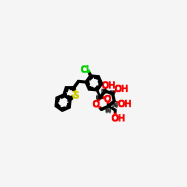 OC[C@@]12CO[C@@](c3ccc(Cl)c(Cc4cc5ccccc5s4)c3)(O1)[C@H](O)[C@@H](O)[C@@H]2O